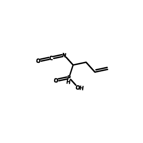 C=CCC(N=C=O)[PH](=O)O